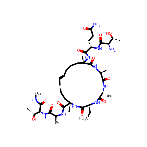 CC[C@H](C)[C@@H]1NC(=O)[C@H](C)NC(=O)[C@@](C)(NC(=O)[C@H](CCC(N)=O)NC(=O)[C@H](N)[C@@H](C)O)CCC/C=C/CCC[C@@](C)(C(=O)NC(C(=O)N[C@H](C(=O)NC(C)(C)C)[C@@H](C)O)C(C)C)NC(=O)[C@H](CC(=O)O)NC1=O